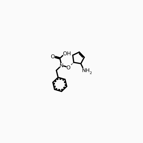 NC1C=CC[C@H]1ON(Cc1ccccc1)C(=O)O